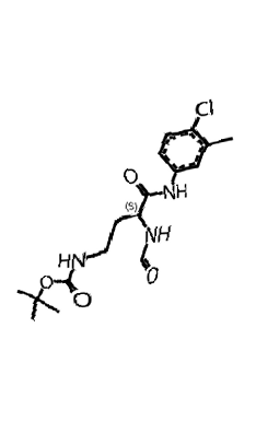 Cc1cc(NC(=O)[C@H](CCNC(=O)OC(C)(C)C)NC=O)ccc1Cl